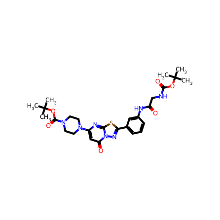 CC(C)(C)OC(=O)NCC(=O)Nc1cccc(-c2nn3c(=O)cc(N4CCN(C(=O)OC(C)(C)C)CC4)nc3s2)c1